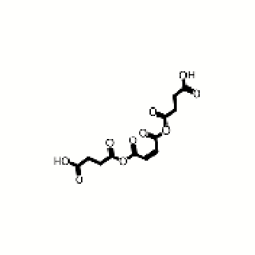 O=C(O)CCC(=O)OC(=O)/C=C\C(=O)OC(=O)CCC(=O)O